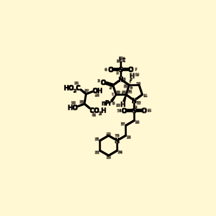 CCC[C@H]1C(=O)N(S(=O)(=O)CC)[C@H]2CCN(S(=O)(=O)CCCN3CCCCC3)[C@H]12.O=C(O)C(O)C(O)C(=O)O